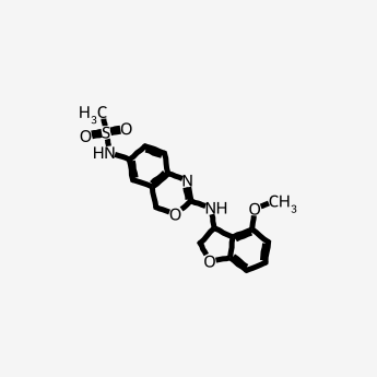 COc1cccc2c1C(NC1=Nc3ccc(NS(C)(=O)=O)cc3CO1)CO2